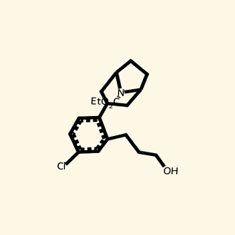 CCOC(=O)N1C2CCC1CC(c1ccc(Cl)cc1CCCO)C2